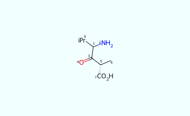 CC(C)C(N)C(=O)[C@H](C)C(=O)O